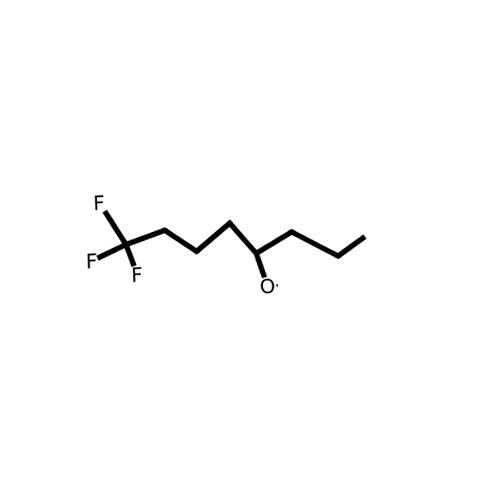 CCCC([O])CCCC(F)(F)F